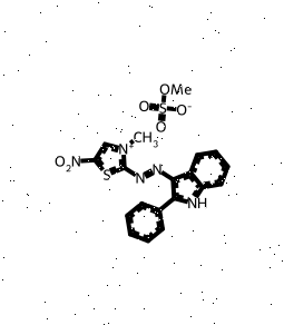 COS(=O)(=O)[O-].C[n+]1cc([N+](=O)[O-])sc1N=Nc1c(-c2ccccc2)[nH]c2ccccc12